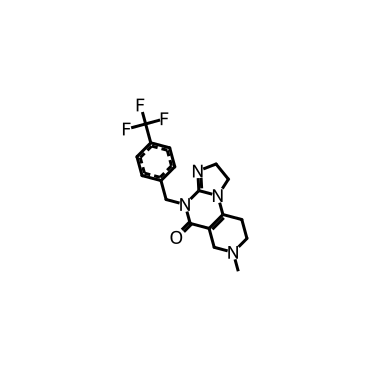 CN1CCC2=C(C1)C(=O)N(Cc1ccc(C(F)(F)F)cc1)C1=NCCN12